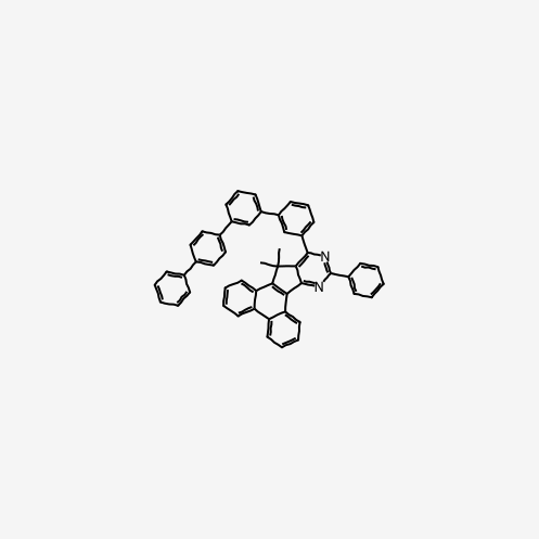 CC1(C)c2c(-c3cccc(-c4cccc(-c5ccc(-c6ccccc6)cc5)c4)c3)nc(-c3ccccc3)nc2-c2c1c1ccccc1c1ccccc21